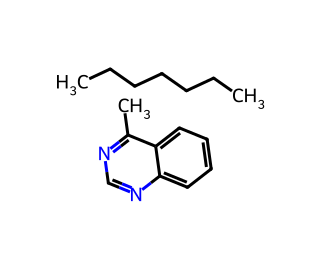 CCCCCCC.Cc1ncnc2ccccc12